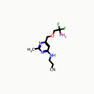 Cc1nc(COCC(F)(F)P)cc(NCCC#N)n1